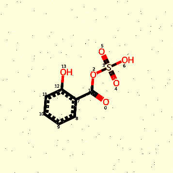 O=C(OS(=O)(=O)O)c1ccccc1O